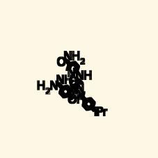 CC(C)c1ccc(CCN(CC(=O)Nc2ccc(C(N)=O)cn2)S(=O)(=O)c2cc(C(=N)N)ccc2O)cc1